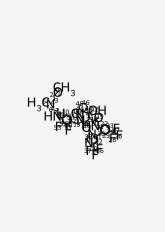 COCCN(C)CCNc1ccc(CN2C(=O)C(C(=O)Nc3ccc(C(F)(F)F)cc3-c3cc(C(F)(F)F)ncn3)=C(O)C3(CCCC3)N2C)c(F)c1F